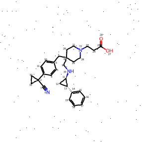 N#CC1(c2ccc(CC3(CN[C@@H]4C[C@H]4c4ccccc4)CCN(CCC(=O)O)CC3)cc2)CC1